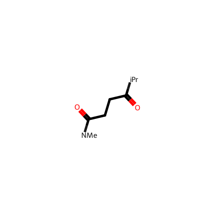 CNC(=O)CCC(=O)C(C)C